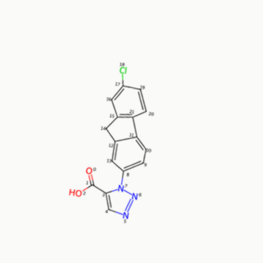 O=C(O)c1cnnn1-c1ccc2c(c1)Cc1cc(Cl)ccc1-2